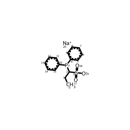 CCC(P(c1ccccc1)c1ccccc1)S(=O)(=O)[O-].[Na+]